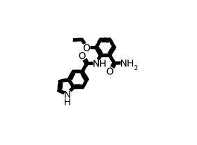 CCOc1cccc(C(N)=O)c1NC(=O)c1ccc2[nH]ccc2c1